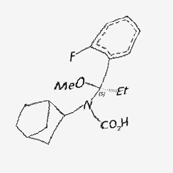 CC[C@](OC)(c1ccccc1F)N(C(=O)O)C1CC2CCC1C2